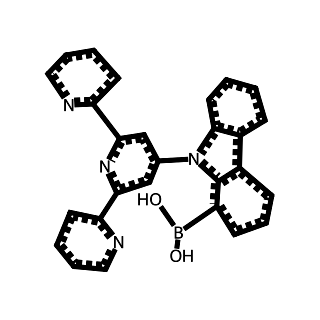 OB(O)c1cccc2c3ccccc3n(-c3cc(-c4ccccn4)nc(-c4ccccn4)c3)c12